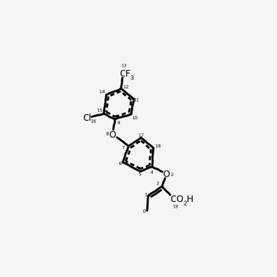 CC=C(Oc1ccc(Oc2ccc(C(F)(F)F)cc2Cl)cc1)C(=O)O